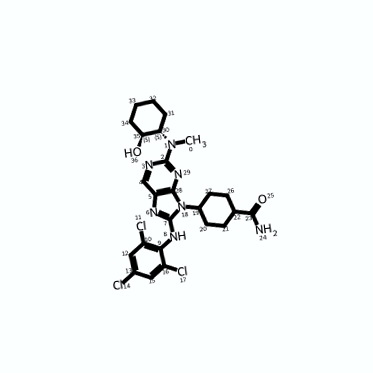 CN(c1ncc2nc(Nc3c(Cl)cc(Cl)cc3Cl)n(C3CCC(C(N)=O)CC3)c2n1)[C@H]1CCCC[C@@H]1O